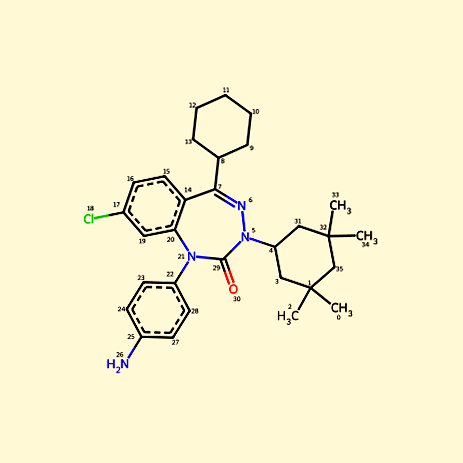 CC1(C)CC(N2N=C(C3CCCCC3)c3ccc(Cl)cc3N(c3ccc(N)cc3)C2=O)CC(C)(C)C1